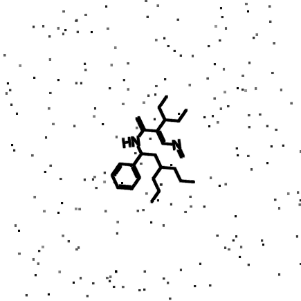 C=N/C=C(/C(=C)NC(CC(CCC)CCC)c1ccccc1)C(CC)CC